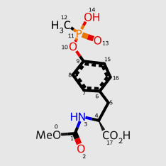 COC(=O)N[C@@H](Cc1ccc(OP(C)(=O)O)cc1)C(=O)O